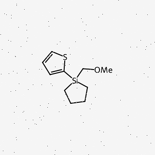 COC[Si]1(c2cccs2)CCCC1